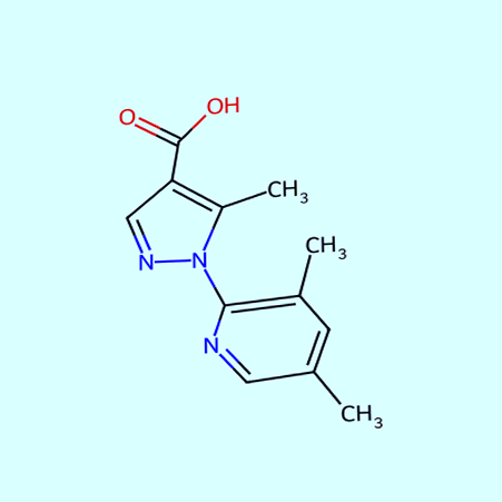 Cc1cnc(-n2ncc(C(=O)O)c2C)c(C)c1